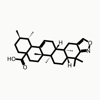 C[C@@H]1CCC2(C(=O)O)CC[C@]3(C)C(=CC[C@@H]4[C@@]5(C)Cc6conc6C(C)(C)[C@@H]5CC[C@]43C)C2[C@H]1C